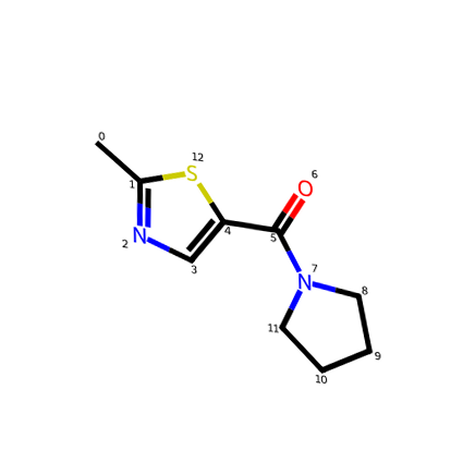 Cc1ncc(C(=O)N2CCCC2)s1